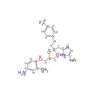 CCCc1cnc(CC2(CCc3ccc(C(F)(F)F)cc3)OCC(COc3ccc(N)cc3C)O2)[nH]1